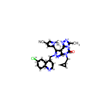 Cc1nnc2c3c(-c4cc(C#N)cn4C)n(Cc4ccnc5ccc(Cl)cc45)nc3n(CC3CC3)c(=O)n12